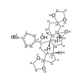 CC(C)(C)c1ccc([C@]2(O)C[C@@]3(C)[C@@H](CCC34OCCO4)[C@@H]3C[C@H]4OC45CC4(CCC5(C)[C@H]32)OCCO4)cc1